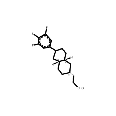 O=CCC[C@@H]1CC[C@@H]2CC(c3cc(F)c(F)c(F)c3)CC[C@@H]2C1